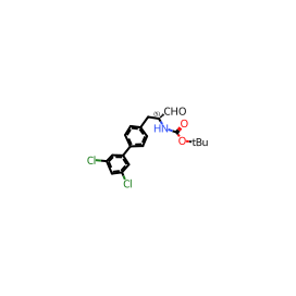 CC(C)(C)OC(=O)N[C@H](C=O)Cc1ccc(-c2cc(Cl)cc(Cl)c2)cc1